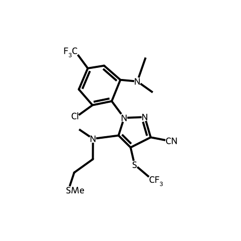 CSCCN(C)c1c(SC(F)(F)F)c(C#N)nn1-c1c(Cl)cc(C(F)(F)F)cc1N(C)C